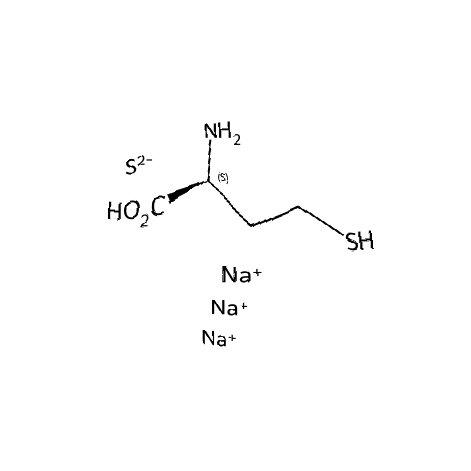 N[C@@H](CCS)C(=O)O.[Na+].[Na+].[Na+].[S-2]